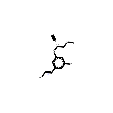 C#C[C@H](CNI)Oc1cc(F)cc(/C=C/C(C)=O)c1